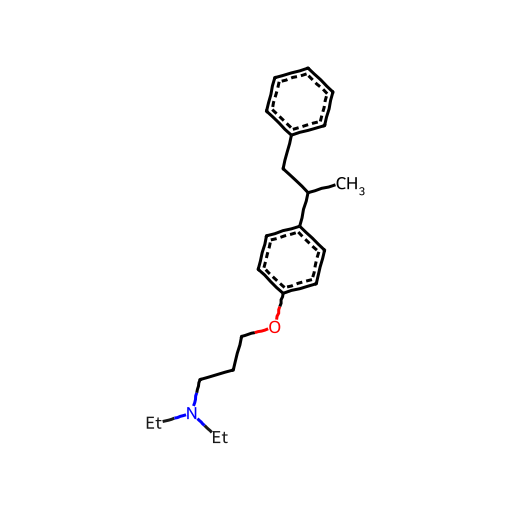 CCN(CC)CCCOc1ccc(C(C)Cc2ccccc2)cc1